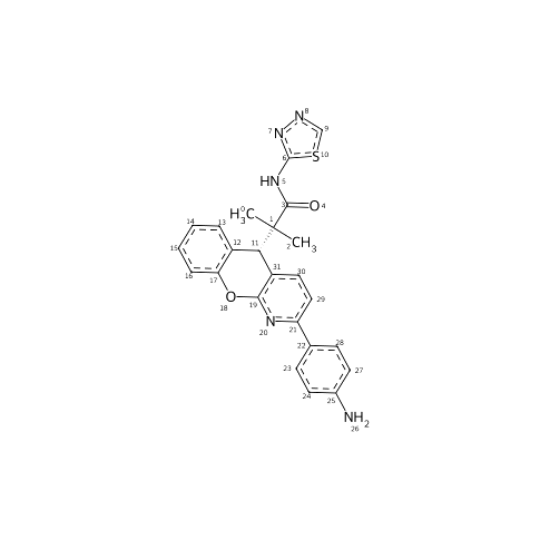 CC(C)(C(=O)Nc1nncs1)[C@H]1c2ccccc2Oc2nc(-c3ccc(N)cc3)ccc21